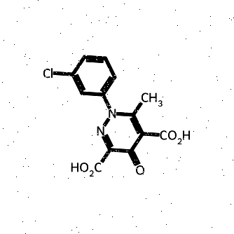 Cc1c(C(=O)O)c(=O)c(C(=O)O)nn1-c1cccc(Cl)c1